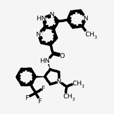 Cc1cc(-c2n[nH]c3ncc(C(=O)N[C@@H]4CN(C(C)C)C[C@H]4c4ccccc4C(F)(F)F)cc23)ccn1